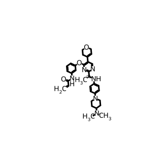 C=CC(=O)Nc1cccc(Oc2nc([C@H](C)Nc3ccc(N4CCC(N(C)C)CC4)cc3)ncc2C2=CCOCC2)c1